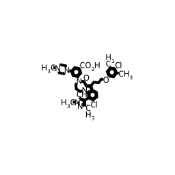 Cc1cc(OCCCc2c3n(c4c(-c5c(C)nn(C)c5C)c(Cl)ccc24)CCCN(c2cc(C(=O)O)cc(N4CCN(C)CC4)c2)C3=O)cc(C)c1Cl